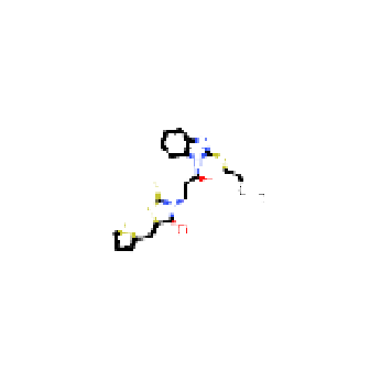 CCCSc1nc2ccccc2n1C(=O)CCN1C(=O)/C(=C/c2cccs2)SC1=S